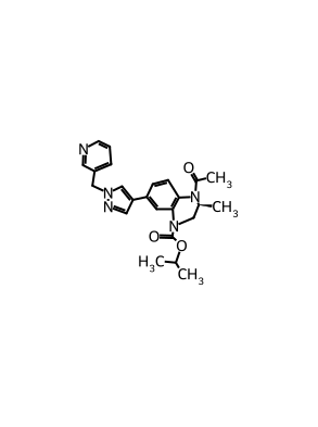 CC(=O)N1c2ccc(-c3cnn(Cc4cccnc4)c3)cc2N(C(=O)OC(C)C)C[C@@H]1C